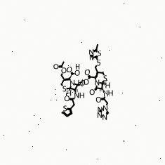 CC(=O)OCC1=C(C(=O)O)N2C(=O)[C@@H](NC(=O)Cc3cccs3)[C@H]2SC1.Cc1nnc(SCC2=C(C(=O)O)N3C(=O)[C@@H](NC(=O)Cn4cnnn4)[C@H]3SC2)s1